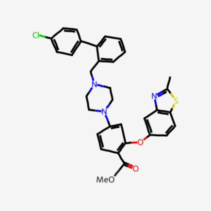 COC(=O)c1ccc(N2CCN(Cc3ccccc3-c3ccc(Cl)cc3)CC2)cc1Oc1ccc2sc(C)nc2c1